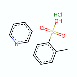 Cc1ccccc1S(=O)(=O)O.Cl.c1ccncc1